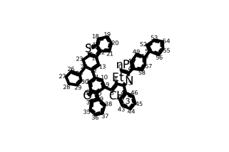 CCC/C=C(/N=C(\C(CC)=C(/C)c1cc(C2=Cc3c(sc4ccccc34)CC2C2=CCCC=C2)cc2oc3ccccc3c12)c1ccccc1)c1ccc(-c2ccccc2)cc1